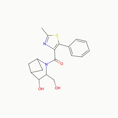 Cc1nc(C(=O)N2C3CC(C3)C(O)C2CO)c(-c2ccccc2)s1